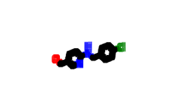 O=Cc1ccc(NCc2ccc(Cl)cc2)nc1